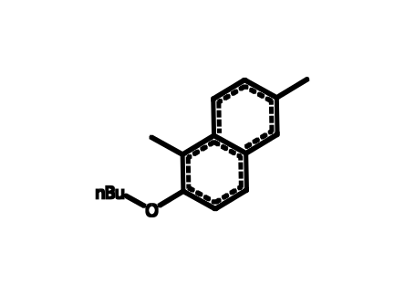 CCCCOc1ccc2cc(C)ccc2c1C